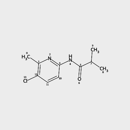 Cc1nc(NC(=O)C(C)C)ccc1Cl